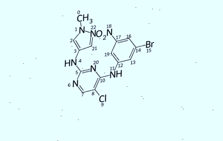 Cn1cc(Nc2ncc(Cl)c(Nc3cc(Br)cc([N+](=O)[O-])c3)n2)cn1